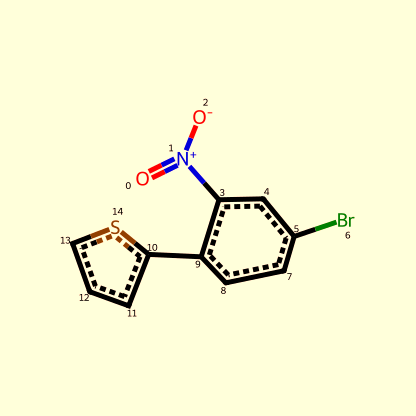 O=[N+]([O-])c1cc(Br)ccc1-c1cccs1